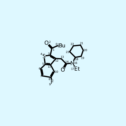 CCC(C)C(=O)c1sc2ccc(F)cc2c1CC(=O)N(CC)C1CCCCC1